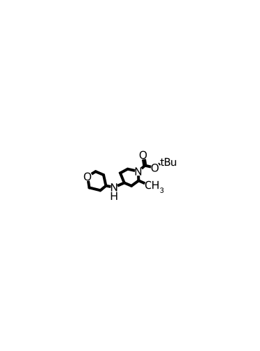 CC1CC(NC2CCOCC2)CCN1C(=O)OC(C)(C)C